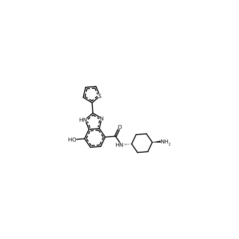 N[C@H]1CC[C@H](NC(=O)c2ccc(O)c3[nH]c(-c4cccs4)nc23)CC1